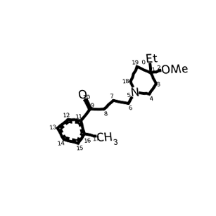 CCC1(OC)CCN(CCCC(=O)c2ccccc2C)CC1